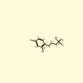 Cc1ccc(CCCC(C)(C)C)c(C)c1